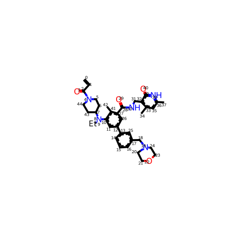 C=CC(=O)N1CCC(N(CC)c2cc(-c3cccc(CN4CCOCC4)c3)cc(C(=O)NCc3c(C)cc(C)[nH]c3=O)c2C)CC1